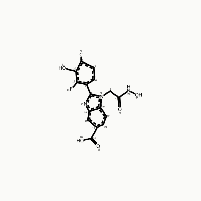 O=C(Cn1c(-c2ccc(Cl)c(O)c2F)nc2cc(C(=O)O)ccc21)NO